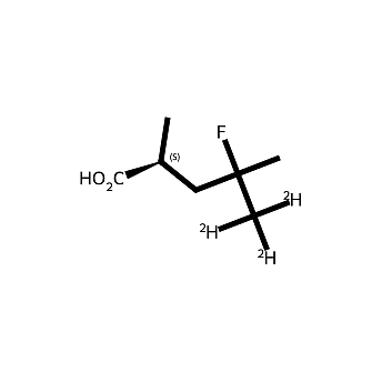 [2H]C([2H])([2H])C(C)(F)C[C@H](C)C(=O)O